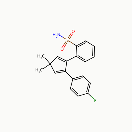 CC1(C)C=C(c2ccc(F)cc2)C(c2ccccc2S(N)(=O)=O)=C1